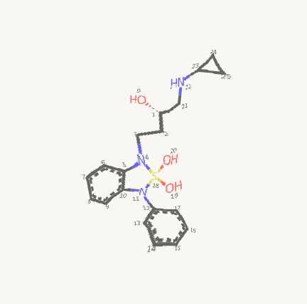 O[C@@H](CCN1c2ccccc2N(c2ccccc2)S1(O)O)CNC1CC1